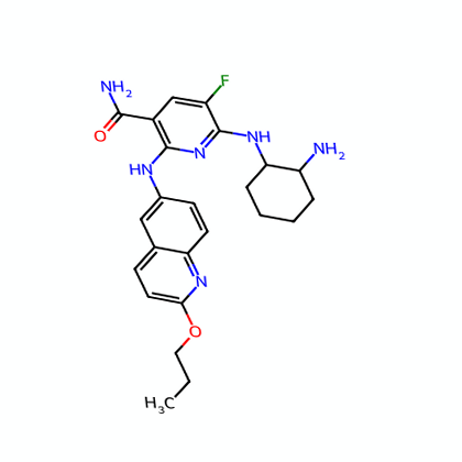 CCCOc1ccc2cc(Nc3nc(NC4CCCCC4N)c(F)cc3C(N)=O)ccc2n1